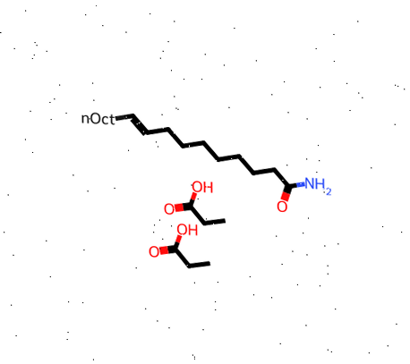 CCC(=O)O.CCC(=O)O.CCCCCCCCC=CCCCCCCCC(N)=O